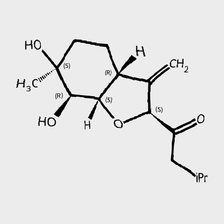 C=C1[C@@H](C(=O)CC(C)C)O[C@H]2[C@@H]1CC[C@](C)(O)[C@@H]2O